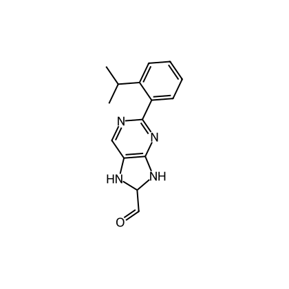 CC(C)c1ccccc1-c1ncc2c(n1)NC(C=O)N2